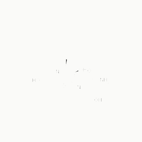 NC(=O)C1C(O)CN1C(=O)[C@H](O)[C@H](Cc1ccccc1)N1CC(O)C1